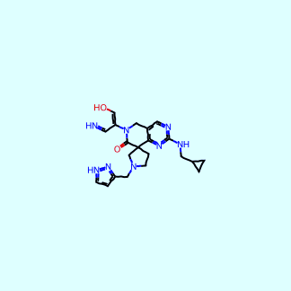 N=C/C(=C\O)N1Cc2cnc(NCC3CC3)nc2C2(CCN(Cc3cc[nH]n3)C2)C1=O